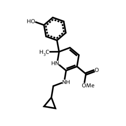 COC(=O)C1=C(NCC2CC2)NC(C)(c2cccc(O)c2)C=C1